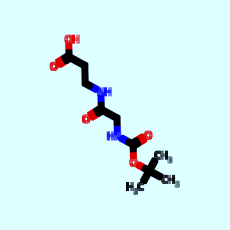 CC(C)(C)OC(=O)NCC(=O)NCCC(=O)O